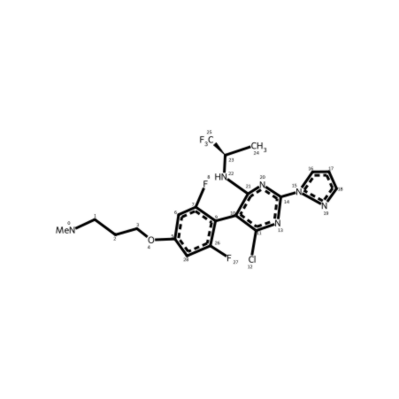 CNCCCOc1cc(F)c(-c2c(Cl)nc(-n3cccn3)nc2N[C@H](C)C(F)(F)F)c(F)c1